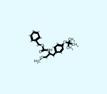 COCC(Cc1ccc(OC(C)(C)C)cc1)NC(=O)OCc1ccccc1